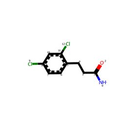 [NH]C(=O)CCc1ccc(Cl)cc1Cl